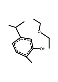 CCOCC.Cc1ccc(C(C)C)cc1O